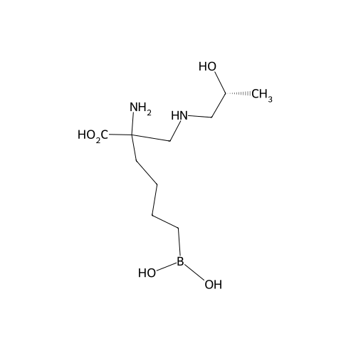 C[C@@H](O)CNCC(N)(CCCCB(O)O)C(=O)O